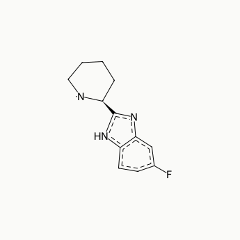 Fc1ccc2[nH]c([C@@H]3CCCC[N]3)nc2c1